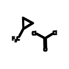 FC(F)(F)C1CC1.O=C(Cl)Cl